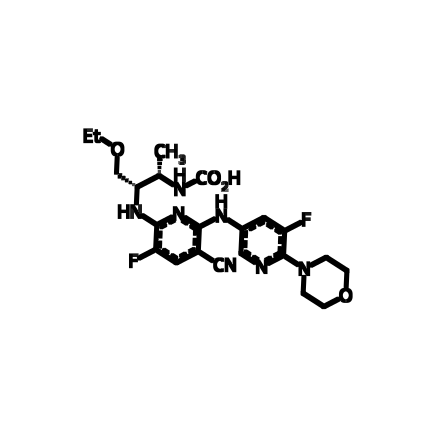 CCOC[C@@H](Nc1nc(Nc2cnc(N3CCOCC3)c(F)c2)c(C#N)cc1F)[C@H](C)NC(=O)O